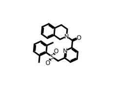 Cc1cccc(C)c1S(=O)(=O)Cc1cccc(C(=O)N2CCc3ccccc3C2)n1